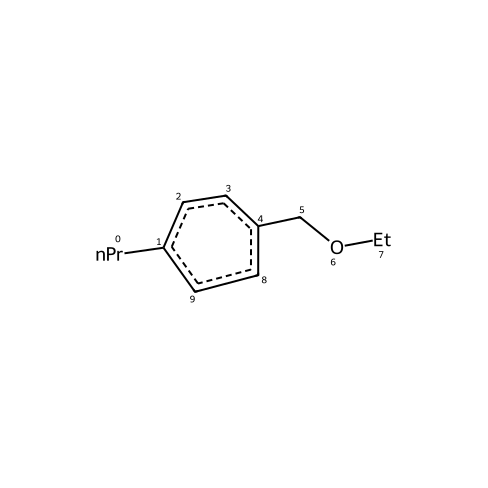 CCCc1ccc(COCC)cc1